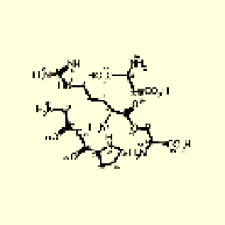 N=C(N)NCCC[C@H](N)C(=O)OC[C@H](N)C(=O)O.NCC(=O)OC(=O)[C@@H]1CCCN1.N[C@@H](CC(=O)O)C(=O)O